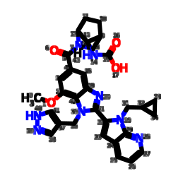 COc1cc(C(=O)N2CC3CCC2[C@@H]3NC(=O)O)cc2nc(-c3cc4cccnc4n3CC3CC3)n(Cc3cn[nH]c3)c12